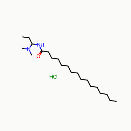 CCCCCCCCCCCCCCCC(=O)NC(CC)N(C)C.Cl